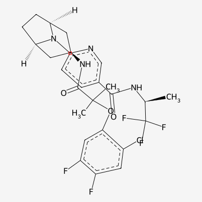 C[C@H](NC(=O)c1ccc(N2[C@@H]3CC[C@H]2C[C@@H](NC(=O)C(C)(C)Oc2cc(F)c(F)cc2Cl)C3)nc1)C(F)(F)F